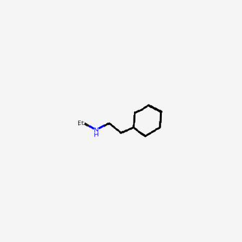 [CH2]CNCCC1CCCCC1